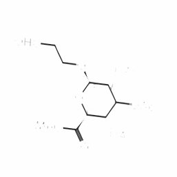 COC(=O)[C@H]1O[C@@H](OCCC=O)[C@H](OC(C)=O)C(OC(C)=O)[C@@H]1OC(C)=O